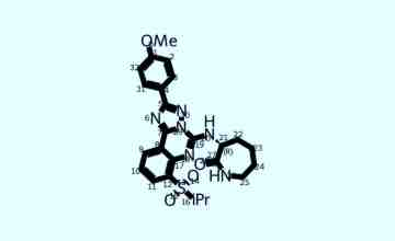 COc1ccc(-c2nc3c4cccc(S(=O)(=O)C(C)C)c4nc(N[C@@H]4CCCCNC4=O)n3n2)cc1